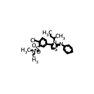 CCC(C)n1c(-c2ccc(Cl)c(S(=O)(=O)N(C)C)c2)csc1=Nc1ccccc1